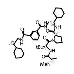 CN[C@@H](C)C(=O)N[C@H](C(=O)N1CCC[C@H]1C(=O)N[C@H](CNC(=O)c1cccc(C(=O)NC[C@@H](C)C2CCCCC2)c1)C1CCCCC1)C(C)(C)C